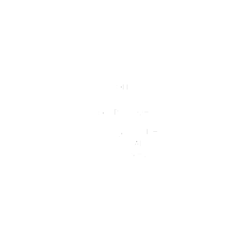 O=P(O)(O)OF.[AlH3].[LiH].[SiH4]